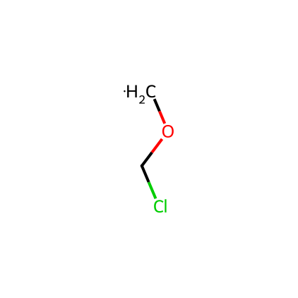 [CH2]OCCl